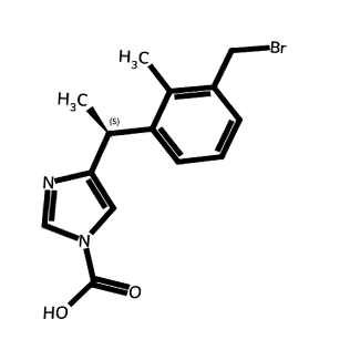 Cc1c(CBr)cccc1[C@H](C)c1cn(C(=O)O)cn1